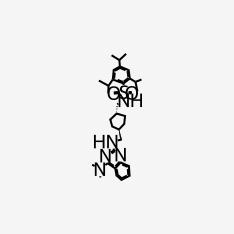 CC(C)c1cc(C(C)C)c(S(=O)(=O)NC[C@H]2CC[C@H](CNc3nc(N(C)C)c4ccccc4n3)CC2)c(C(C)C)c1